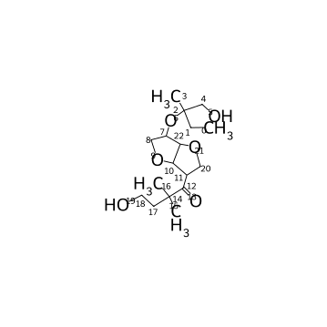 CCC(C)(CO)OC1COC2C(C(=O)C(C)(C)CCO)COC12